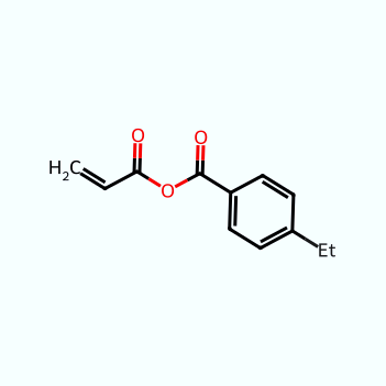 C=CC(=O)OC(=O)c1ccc(CC)cc1